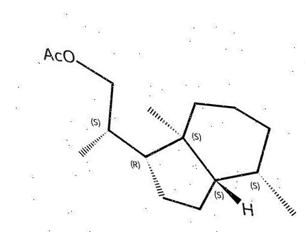 CC(=O)OC[C@@H](C)[C@H]1CC[C@H]2[C@@H](C)CCC[C@]12C